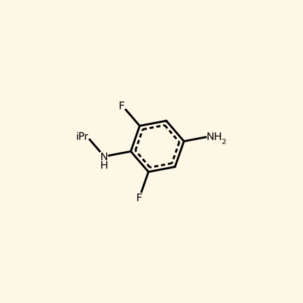 CC(C)Nc1c(F)cc(N)cc1F